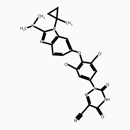 CN(C)c1nc2ccc(Oc3c(Cl)cc(-n4nc(C#N)c(=O)[nH]c4=O)cc3Cl)cc2n1C1(C)CC1